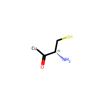 N[C@@H](CS)[C](=O)[Cu]